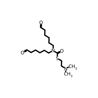 CN(C)CCSC(=O)N(CCCCCC=O)CCCCCC=O